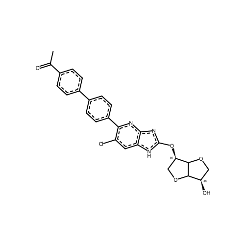 CC(=O)c1ccc(-c2ccc(-c3nc4nc(O[C@@H]5COC6C5OC[C@H]6O)[nH]c4cc3Cl)cc2)cc1